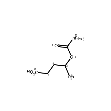 CCCCCC(=O)OC(CCC)CCC(=O)O